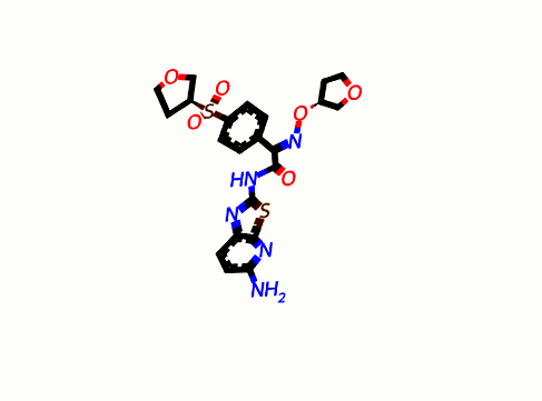 Nc1ccc2nc(NC(=O)/C(=N/O[C@@H]3CCOC3)c3ccc(S(=O)(=O)[C@H]4CCOC4)cc3)sc2n1